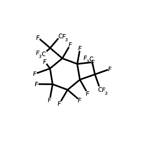 FC(F)(F)C(F)(C(F)(F)F)C1(F)C(F)(F)C(F)(F)C(F)(F)C(F)(C(F)(C(F)(F)F)C(F)(F)F)C1(F)F